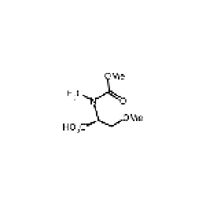 COC[C@@H](C(=O)O)N(C)C(=O)OC